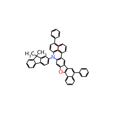 CC1(C)c2ccccc2-c2ccc(N(c3ccc(-c4ccccc4)cc3)c3cc4oc5c6ccccc6c(-c6ccccc6)cc5c4cc3-c3ccccc3)cc21